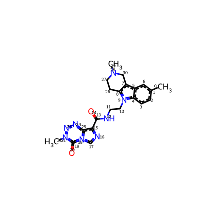 Cc1ccc2c(c1)c1c(n2CCNC(=O)c2ncn3c(=O)n(C)nnc23)CCN(C)C1